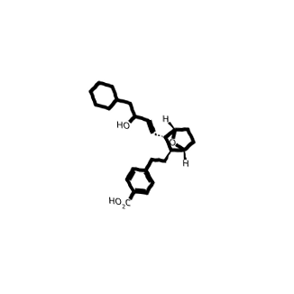 O=C(O)c1ccc(CC[C@H]2[C@H](/C=C/C(O)CC3CCCCC3)[C@@H]3CC[C@H]2O3)cc1